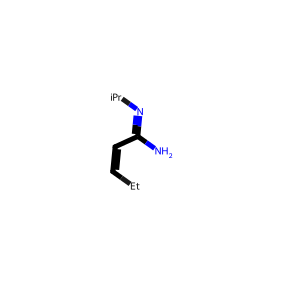 CC/C=C\C(N)=N/C(C)C